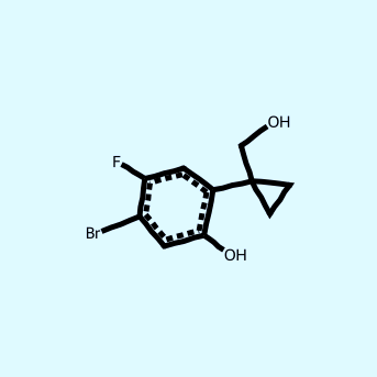 OCC1(c2cc(F)c(Br)cc2O)CC1